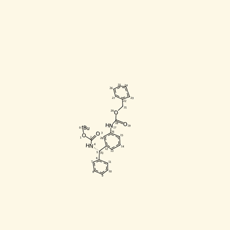 CC(C)(C)OC(=O)N[C@@H](c1ccccc1)c1cccc(NC(=O)OCc2ccccc2)c1